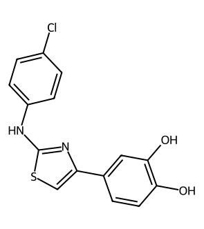 Oc1ccc(-c2csc(Nc3ccc(Cl)cc3)n2)cc1O